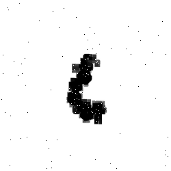 C=CC(=O)Nc1cccc(-c2cn(-c3cccc(NC(=O)c4cccc(-c5ccn[nH]5)n4)c3)nn2)c1